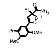 CCC1(C(N)=O)C=C(c2cc(C(C)C)c(OC)cc2OC)ON1